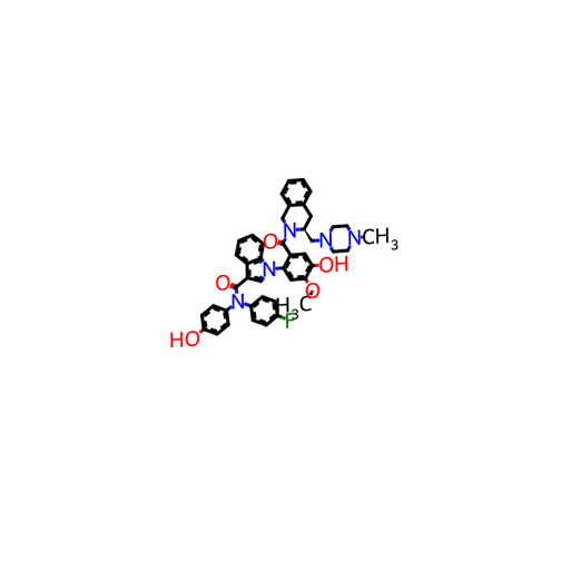 COc1cc(-n2cc(C(=O)N(c3ccc(O)cc3)c3ccc(F)cc3)c3ccccc32)c(C(=O)N2Cc3ccccc3C[C@H]2CN2CCN(C)CC2)cc1O